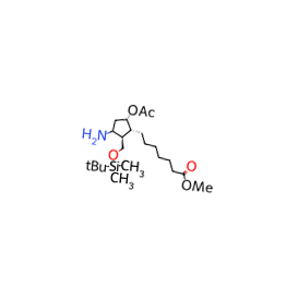 COC(=O)CCCCCC[C@H]1[C@@H](OC(C)=O)CC(N)[C@@H]1CO[Si](C)(C)C(C)(C)C